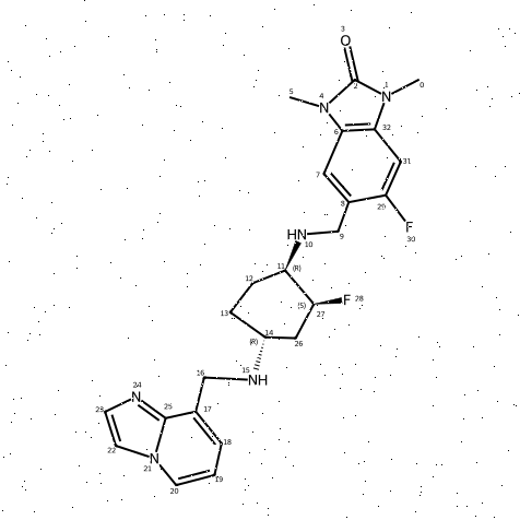 Cn1c(=O)n(C)c2cc(CN[C@@H]3CC[C@@H](NCc4cccn5ccnc45)C[C@@H]3F)c(F)cc21